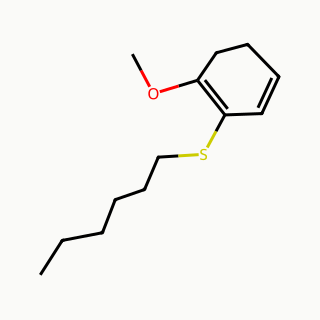 CCCCCCSC1=C(OC)CCC=C1